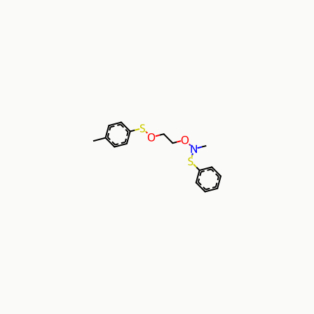 Cc1ccc(SOCCON(C)Sc2ccccc2)cc1